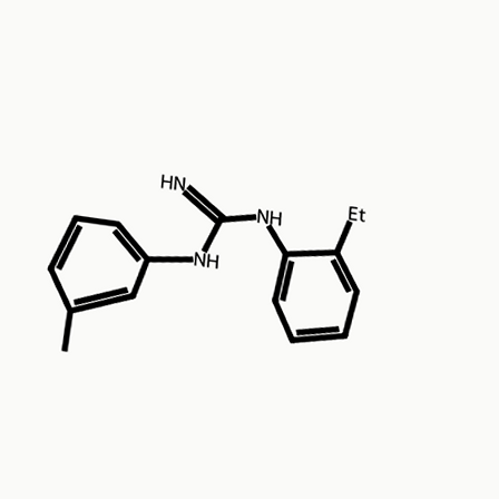 CCc1ccccc1NC(=N)Nc1cccc(C)c1